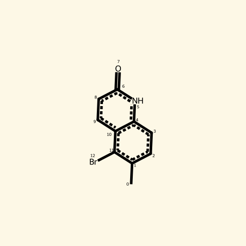 Cc1ccc2[nH]c(=O)ccc2c1Br